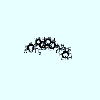 C[C@]12CC[C@H](NC(=O)NC3CCNC[C@H]3F)C[C@H]1CC[C@@H]1[C@@H]2CC[C@]2(C)[C@@H](c3ccc(=O)oc3)CC[C@]12O